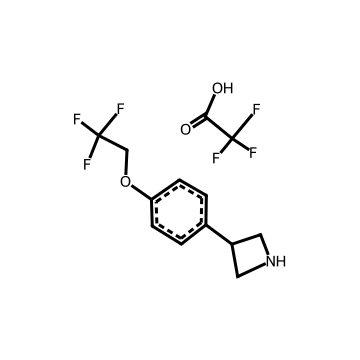 FC(F)(F)COc1ccc(C2CNC2)cc1.O=C(O)C(F)(F)F